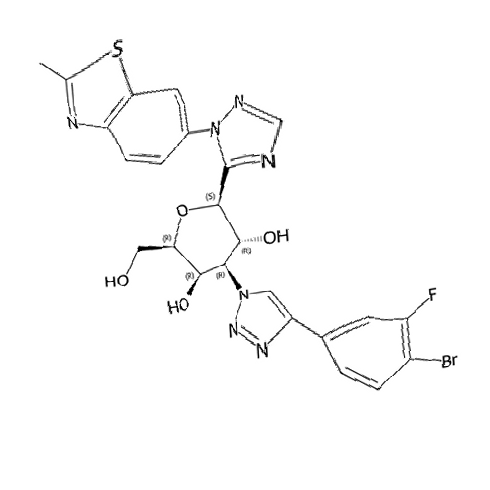 Cc1nc2ccc(-n3ncnc3[C@@H]3O[C@H](CO)[C@H](O)[C@H](n4cc(-c5ccc(Br)c(F)c5)nn4)[C@H]3O)cc2s1